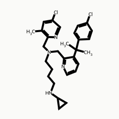 Cc1cc(Cl)cnc1CN(CCCCNC1CC1)Cc1ncccc1C(C)(C)c1ccc(Cl)cc1